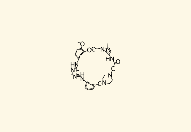 COc1ccc2cc1OCCN1C(=O)C(CC1C)NC(=O)CN1CCN(CC1)Cc1cccc(c1)Nc1cc(ncn1)N2